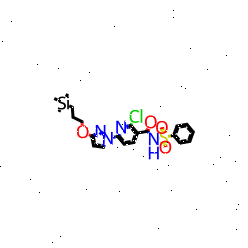 C[Si](C)(C)CCCOc1ccn(-c2ccc(C(=O)NS(=O)(=O)c3ccccc3)c(Cl)n2)n1